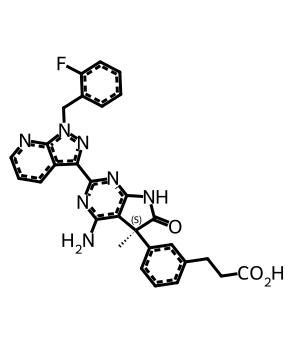 C[C@@]1(c2cccc(CCC(=O)O)c2)C(=O)Nc2nc(-c3nn(Cc4ccccc4F)c4ncccc34)nc(N)c21